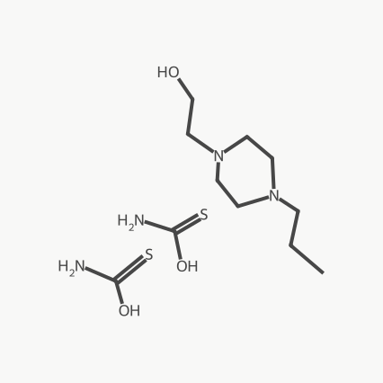 CCCN1CCN(CCO)CC1.NC(O)=S.NC(O)=S